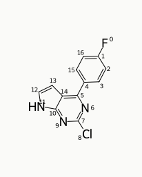 Fc1ccc(-c2nc(Cl)nc3[nH]ccc23)cc1